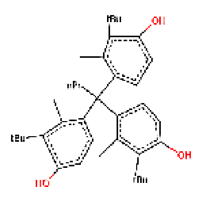 CCCC(c1ccc(O)c(C(C)(C)C)c1C)(c1ccc(O)c(C(C)(C)C)c1C)c1ccc(O)c(C(C)(C)C)c1C